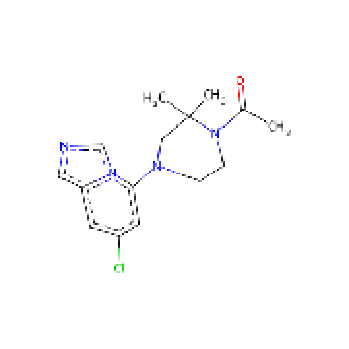 CC(=O)N1CCN(c2cc(Cl)cc3cncn23)CC1(C)C